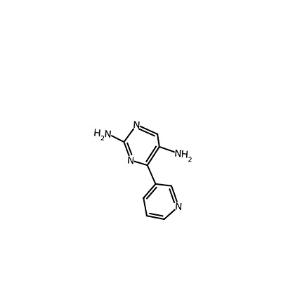 Nc1ncc(N)c(-c2cccnc2)n1